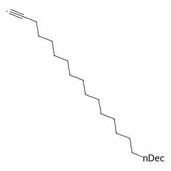 [C]#CCCCCCCCCCCCCCCCCCCCCCCC[CH2]